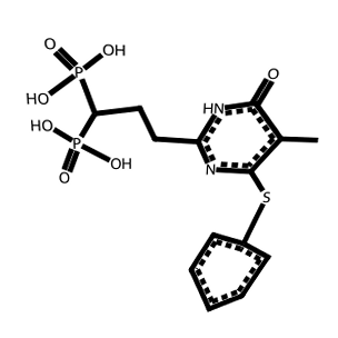 Cc1c(Sc2ccccc2)nc(CCC(P(=O)(O)O)P(=O)(O)O)[nH]c1=O